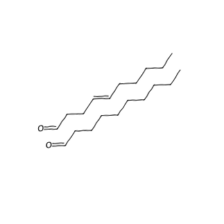 CCCCCC=CCCC=O.CCCCCCCCCC=O